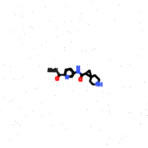 CNC(=O)c1ccc(NC(=O)C2CC23CCNCC3)cn1